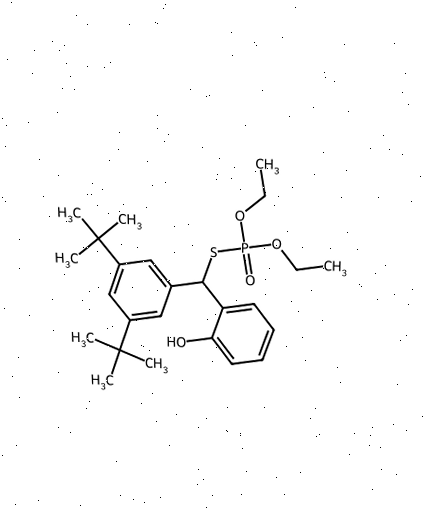 CCOP(=O)(OCC)SC(c1cc(C(C)(C)C)cc(C(C)(C)C)c1)c1ccccc1O